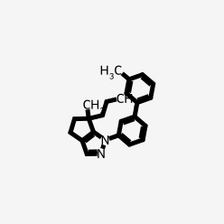 CCCC1(C)CCc2cnn(-c3cccc(-c4cccc(C)c4)c3)c21